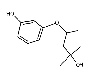 CC(CC(C)(C)O)Oc1cccc(O)c1